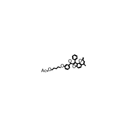 C=C1C=C(C)c2ccc3oc(C(=O)c4cccc(OCCCCCOCC(C)=O)c4)c(-c4ccccc4)c3c2O1